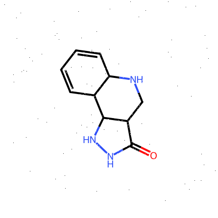 O=C1NNC2C1CNC1C=CC=CC12